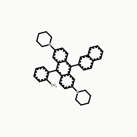 Cc1ccccc1-c1c2ccc(N3CCCCC3)cc2c(-c2ccc3ccccc3c2)c2ccc(N3CCCCC3)cc12